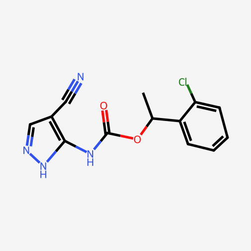 CC(OC(=O)Nc1[nH]ncc1C#N)c1ccccc1Cl